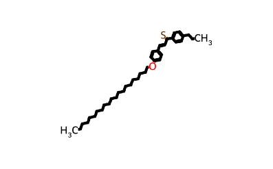 CCCCCCCCCCCCCCCCCCCCCOc1ccc(C=CC(=S)c2ccc(CCC)cc2)cc1